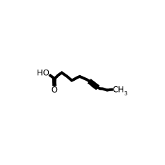 CCC#CCCCC(=O)O